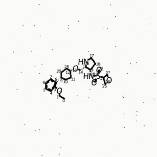 CCOc1ccccc1[C@H]1CC[C@@H](OC[C@@H]2NCC[C@@H]2NS(=O)(=O)C2COC2)CC1